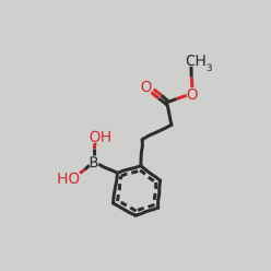 COC(=O)CCc1ccccc1B(O)O